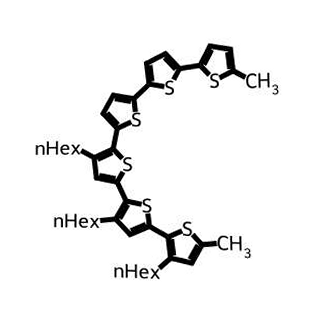 CCCCCCc1cc(C)sc1-c1cc(CCCCCC)c(-c2cc(CCCCCC)c(-c3ccc(-c4ccc(-c5ccc(C)s5)s4)s3)s2)s1